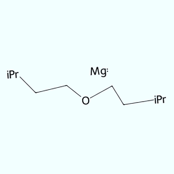 CC(C)CCOCCC(C)C.[Mg]